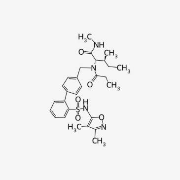 CCC(=O)N(Cc1ccc(-c2ccccc2S(=O)(=O)Nc2onc(C)c2C)cc1)[C@H](C(=O)NC)[C@@H](C)CC